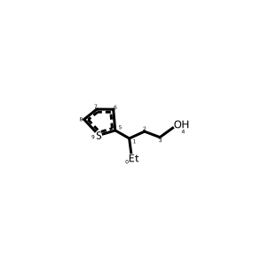 CCC(CCO)c1cccs1